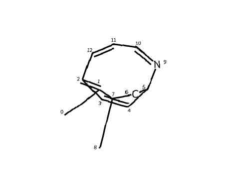 CC1=C2C=CC(CC1C)/N=C\C=C/2